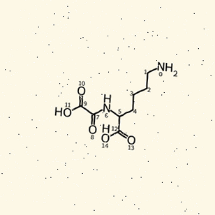 NCCCCC(NC(=O)C(=O)O)C(=O)O